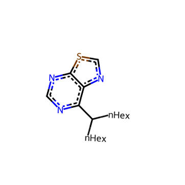 CCCCCCC(CCCCCC)c1ncnc2scnc12